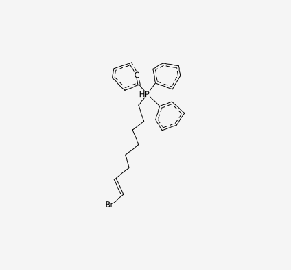 BrC=CCCCCCC[PH](c1ccccc1)(c1ccccc1)c1ccccc1